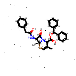 CC1=CS[C@@H]2C(NC(=O)Cc3ccccc3)C(=O)N2C1C(=O)OC(c1ccccc1)c1ccccc1